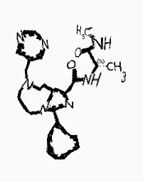 CNC(=O)[C@H](C)NC(=O)c1nc(-c2ccccc2)n2c1CN(Cc1cncnc1)CC2